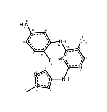 Cn1cc(Nc2ncc(C(F)(F)F)c(Nc3cc(N)ccc3F)n2)cn1